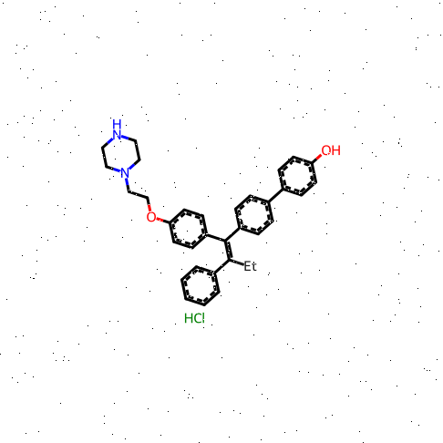 CCC(=C(c1ccc(OCCN2CCNCC2)cc1)c1ccc(-c2ccc(O)cc2)cc1)c1ccccc1.Cl